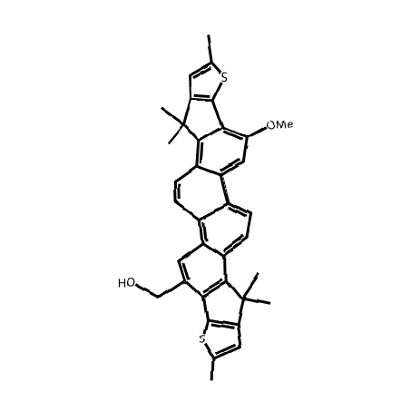 COc1cc2c(ccc3c4cc(CO)c5c(c4ccc23)C(C)(C)c2cc(C)sc2-5)c2c1-c1sc(C)cc1C2(C)C